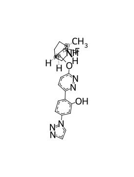 C[C@]12CC[C@H](CN1)[C@H](Oc1ccc(-c3ccc(-n4ccnn4)cc3O)nn1)[C@H]2F